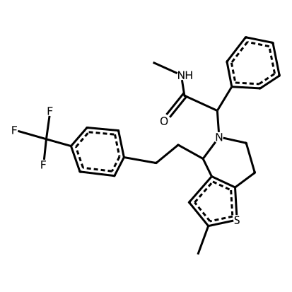 CNC(=O)C(c1ccccc1)N1CCc2sc(C)cc2C1CCc1ccc(C(F)(F)F)cc1